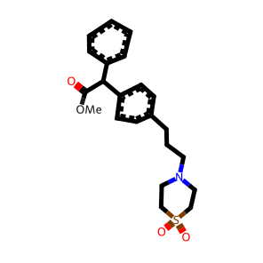 COC(=O)C(c1ccccc1)c1ccc(CCCN2CCS(=O)(=O)CC2)cc1